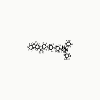 CC1(C)c2ccccc2-c2cc3c(cc21)-c1ccc(-c2ccc(-c4ccc(-c5nc(-c6ccccc6)nc(-c6ccccc6)n5)cc4)cc2)cc1C3(C)C